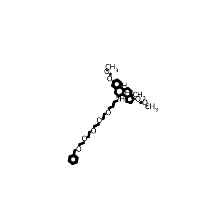 COCOc1ccc2c(c1)C[C@@H](CCCCOCCOCCOCCOCCOCc1ccccc1)[C@@H]1[C@@H]2CC[C@]2(C)[C@@H](OCOC)CC[C@@H]12